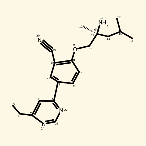 CCc1cc(-c2ccc(OC[C@@](C)(N)CC(C)C)c(C#N)c2)ncn1